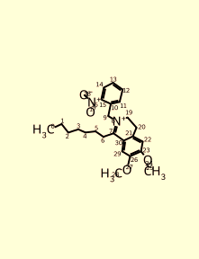 CCCCCCCC1=[N+](Cc2ccccc2[N+](=O)[O-])CCc2cc(OC)c(OC)cc21